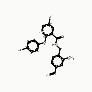 Cc1cc(C=O)ccc1CNC(=O)c1cc(F)cnc1Oc1ccc(F)cc1